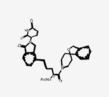 CC(=O)N[C@@H](CCCc1cccc2c1CN(C1CCC(=O)NC1=O)C2=O)C(=O)N1CCC2(CC1)OCc1ccccc12